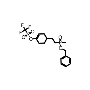 CP(=O)(CCC1CC=C(OS(=O)(=O)C(F)(F)F)CC1)OCc1ccccc1